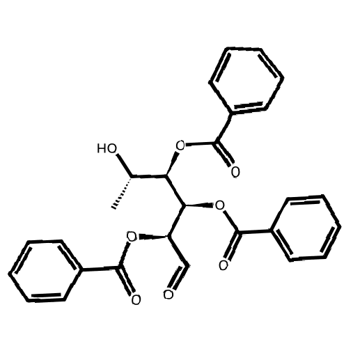 C[C@H](O)[C@@H](OC(=O)c1ccccc1)[C@@H](OC(=O)c1ccccc1)[C@@H](C=O)OC(=O)c1ccccc1